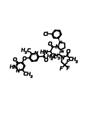 CC(=O)N(CC(F)(F)F)C(C)[C@H]1CC[C@@H](c2cccc(Cl)c2)N1C(=O)C(C)NC(=O)c1ccc(Oc2cc(C)n[nH]c2=O)c(C)n1